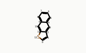 [c]1cc2cc3ccccc3cc2s1